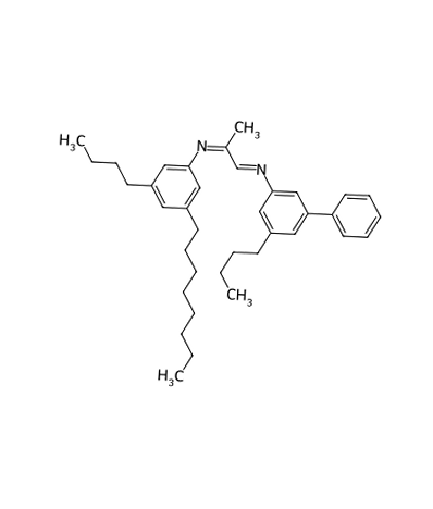 CCCCCCCCc1cc(CCCC)cc(N=C(C)C=Nc2cc(CCCC)cc(-c3ccccc3)c2)c1